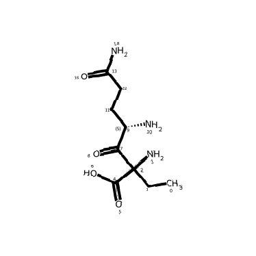 CCC(N)(C(=O)O)C(=O)[C@@H](N)CCC(N)=O